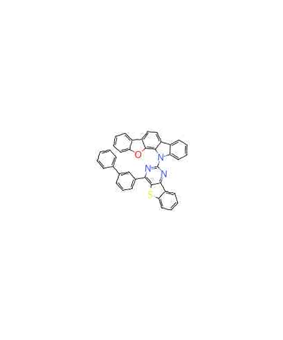 c1ccc(-c2cccc(-c3nc(-n4c5ccccc5c5ccc6c7ccccc7oc6c54)nc4c3sc3ccccc34)c2)cc1